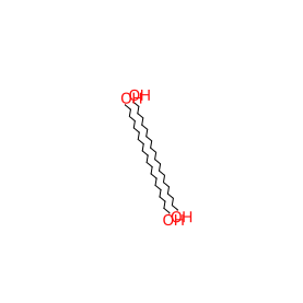 OCCCCCCCCCCCCCCCCCCCCO.OCCCCCCCCCCCCCCCCCCCCO